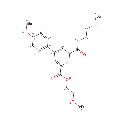 CCCCOCCOC(=O)c1cc(C(=O)OCCOCCCC)cc(-c2ccc(OCCCC)cc2)c1